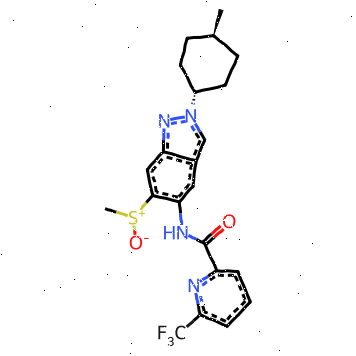 C[S+]([O-])c1cc2nn([C@H]3CC[C@H](C)CC3)cc2cc1NC(=O)c1cccc(C(F)(F)F)n1